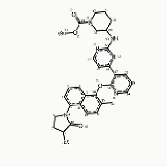 CCC1CCN(c2cccc3c(Oc4ncccc4-c4ccnc(NC5CCCN(C(=O)OC(C)(C)C)C5)n4)c(C)ccc23)C1=O